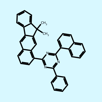 CC1(C)c2ccccc2-c2cc3cccc(-c4nc(-c5ccccc5)nc(-c5cccc6ccccc56)n4)c3cc21